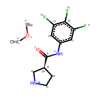 CC(C)(C)OC=O.O=C(Nc1cc(F)c(F)c(F)c1)[C@H]1CCNC1